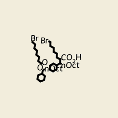 CCCCCCCCC(C1CCCCC1)C(CCCCCCBr)C(=O)O.CCCCCCCCC(OC(=O)CCCCCCCBr)C1CCCCC1